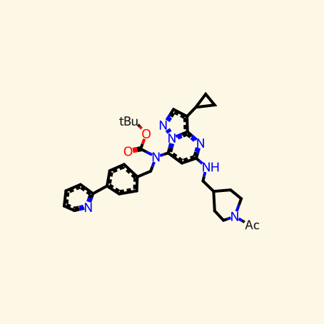 CC(=O)N1CCC(CNc2cc(N(Cc3ccc(-c4ccccn4)cc3)C(=O)OC(C)(C)C)n3ncc(C4CC4)c3n2)CC1